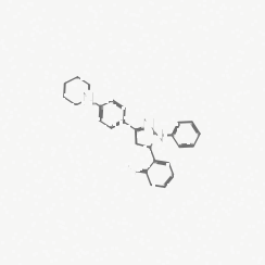 S=C1CC=CC=C1C1CC(c2ccc(N3CCCCC3)cc2)=NN1c1ccccc1